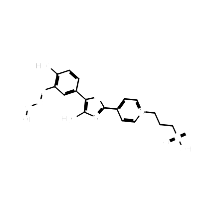 Cc1ccc(-c2oc(-c3cc[n+](CCCS(=O)(=O)O)cc3)nc2C)cc1SOOO